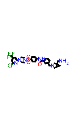 NCC12CC1CN(Cc1cccc(C(=O)Nc3ccc(S(=O)(=O)N4CCN(c5cc(C(F)(F)F)cc(Cl)n5)CC4)cc3)c1)C2